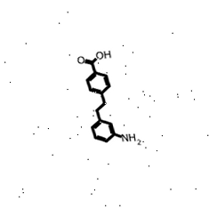 Nc1cccc([CH]Cc2ccc(C(=O)O)cc2)c1